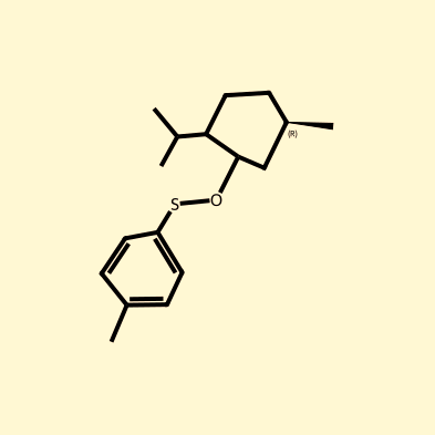 Cc1ccc(SOC2C[C@H](C)CCC2C(C)C)cc1